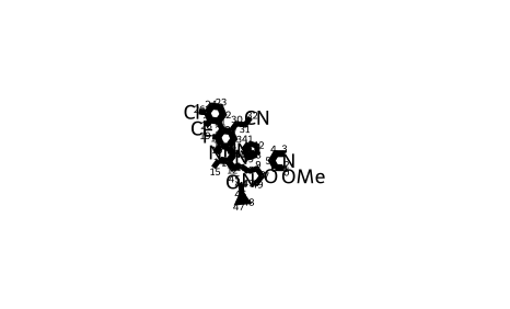 COc1ncccc1OC1CC(c2cc3c(C)nc4c(F)c(-c5cccc(Cl)c5Cl)c(CCC#N)cc4c3n2C2C3CNC2C3)N(C(=O)C2CC2)C1